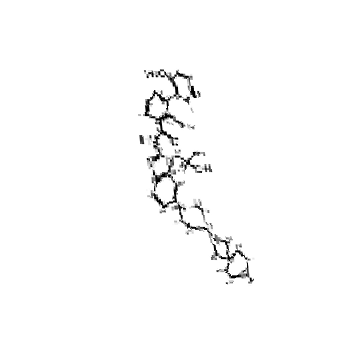 COc1ccncc1-c1nccc(C(=O)Nc2nc3ccc(N4CCC(N5CC6(CCN(C)CC6)C5)CC4)cc3n2CC(C)(C)O)c1F